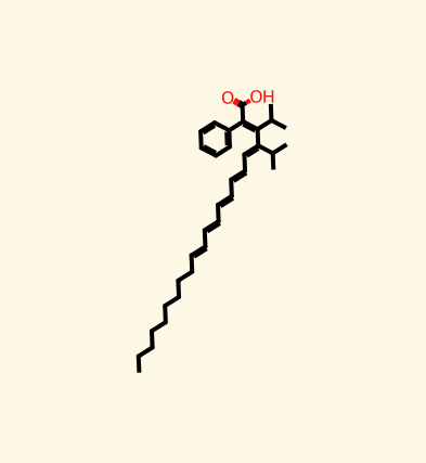 CCCCCCCCCC=CC=CC=CC=CC=C(C(=C(C(=O)O)c1ccccc1)C(C)C)C(C)C